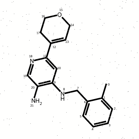 Cc1ccccc1CNc1cc(C2=CCOCC2)ncc1N